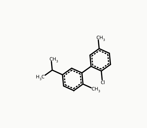 Cc1ccc(Cl)c(-c2cc(C(C)C)c[c]c2C)c1